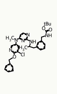 CC(Cc1cccc(CNC(=O)OC(C)(C)C)c1)Nc1nccc(N(C)c2cnc(OCc3ccccc3)c(Cl)c2)n1